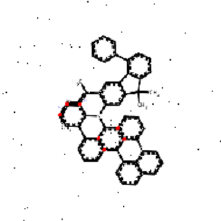 C/C=C\C=C(/C)c1cc2c(cc1N(c1ccc(-c3cccc4cccc(-c5ccccc5)c34)cc1)c1c#cccc1-c1ccccc1)C(C)(C)c1cccc(-c3ccccc3)c1-2